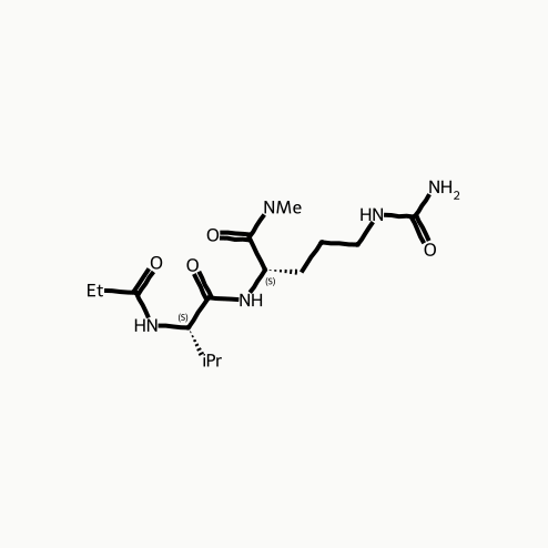 CCC(=O)N[C@H](C(=O)N[C@@H](CCCNC(N)=O)C(=O)NC)C(C)C